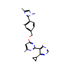 COc1ncnc(C2CC2)c1-c1nc(OCc2ccc(-c3nc(C(F)(F)F)cn3C)c(F)c2)cc(C(C)C)n1